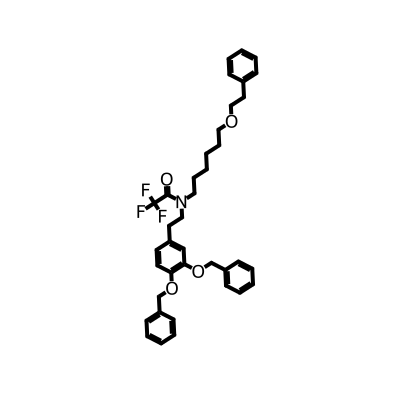 O=C(N(CCCCCCOCCc1ccccc1)CCc1ccc(OCc2ccccc2)c(OCc2ccccc2)c1)C(F)(F)F